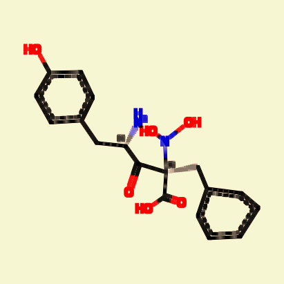 N[C@@H](Cc1ccc(O)cc1)C(=O)[C@](Cc1ccccc1)(C(=O)O)N(O)O